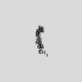 CCCC1COC(c2ccc(C3CCC(C4CCC(OC(F)(F)c5cc(F)c(F)c(F)c5)CC4)CC3)c(F)c2)OC1